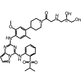 COc1cc(C2CCN(C(=O)CNC[C@@H](O)CO)CC2)c(C)cc1Nc1nc(Nc2ccccc2S(=O)(=O)C(C)C)n2nccc2n1